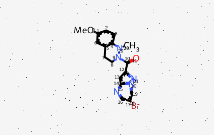 COc1ccc2c(c1)CCN(C(=O)c1cc3ncc(Br)cn3n1)N2C